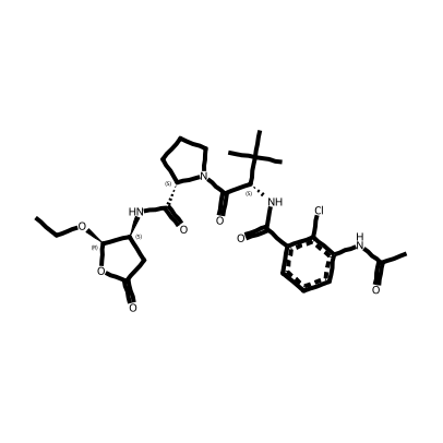 CCO[C@@H]1OC(=O)C[C@@H]1NC(=O)[C@@H]1CCCN1C(=O)[C@@H](NC(=O)c1cccc(NC(C)=O)c1Cl)C(C)(C)C